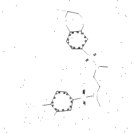 COc1ccc(S(=O)(=O)N(C)CCN(C)S(=O)(=O)c2ccc3c(c2)OCCO3)cc1OC